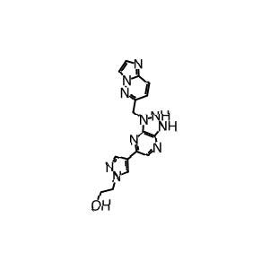 OCCn1cc(-c2cnc3c(n2)N(Cc2ccc4nccn4n2)NN3)cn1